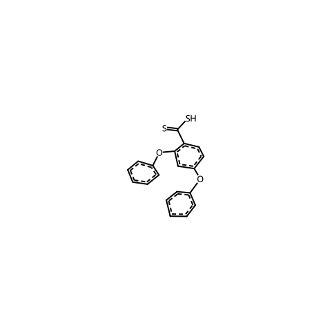 S=C(S)c1ccc(Oc2ccccc2)cc1Oc1ccccc1